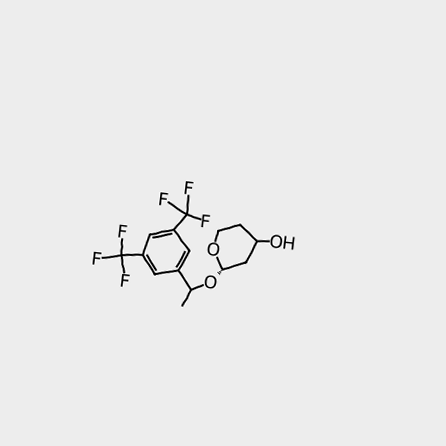 CC(O[C@H]1CC(O)CCO1)c1cc(C(F)(F)F)cc(C(F)(F)F)c1